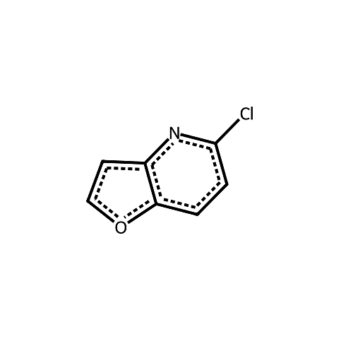 Clc1ccc2occc2n1